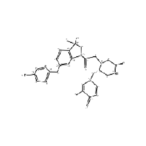 Cc1cn(C[C@H]2CN[C@H](C)CN2CC(=O)N2CC(C)(C)c3ncc(Cc4ccc(F)cc4)cc32)ccc1=O